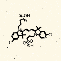 CC1(C)C(=CC=CC2=[N+](CCCS(=O)(=O)O)c3ccc(Cl)cc3C2(C)C)N(CCCS(=O)(=O)O)c2ccc(Cl)cc21